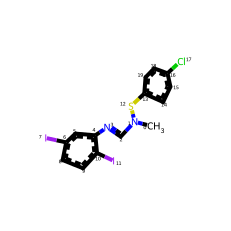 CN(C=Nc1cc(I)ccc1I)Sc1ccc(Cl)cc1